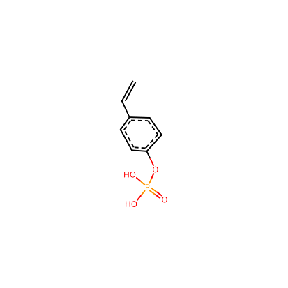 C=Cc1ccc(OP(=O)(O)O)cc1